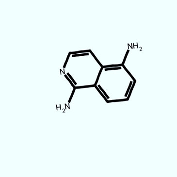 Nc1cccc2c(N)nccc12